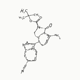 CC(C)(C)OC(=O)N1Cc2c(-c3cnc4cc(C#N)ccn34)ccc(N)c2C1=O